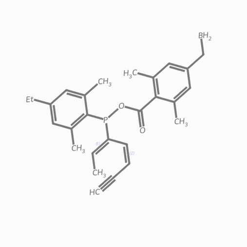 BCc1cc(C)c(C(=O)OP(C(/C=C\C#C)=C/C)c2c(C)cc(CC)cc2C)c(C)c1